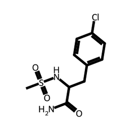 CS(=O)(=O)NC(Cc1ccc(Cl)cc1)C(N)=O